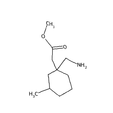 COC(=O)CC1(CN)CCCC(C)C1